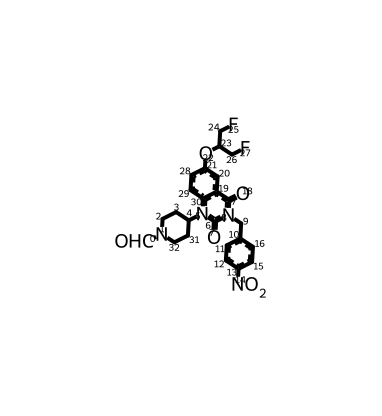 O=CN1CCC(n2c(=O)n(Cc3ccc([N+](=O)[O-])cc3)c(=O)c3cc(OC(CF)CF)ccc32)CC1